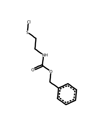 O=C(NCCSCl)OCc1ccccc1